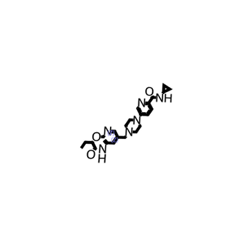 C=C(/C=C(\C=N/COC(C=O)CC)CN1CCN(c2ccc(C(=O)NC3CC3)nc2)CC1)NC